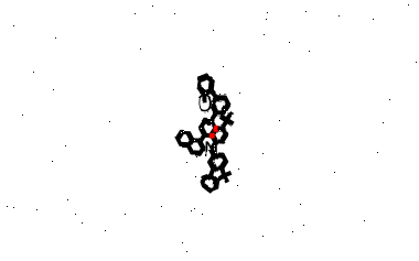 CC(C)(C)c1ccc(N(c2ccc3c(c2)-c2ccccc2C3(C)C)c2ccc3ccccc3c2-c2ccc(-c3cccc4c3oc3ccccc34)cc2)cc1